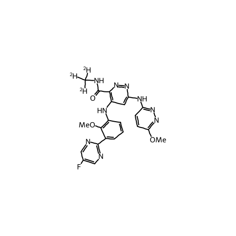 [2H]C([2H])([2H])NC(=O)c1nnc(Nc2ccc(OC)nn2)cc1Nc1cccc(-c2ncc(F)cn2)c1OC